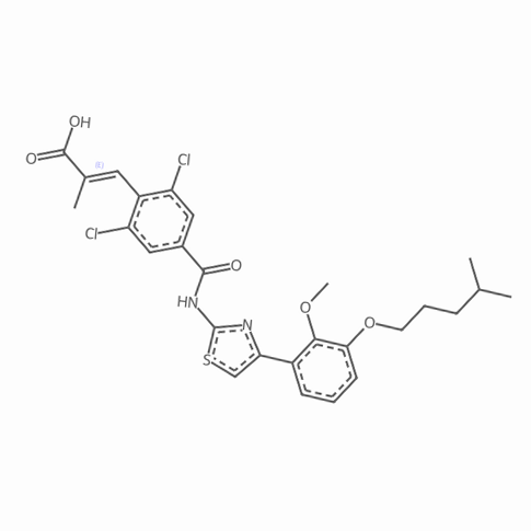 COc1c(OCCCC(C)C)cccc1-c1csc(NC(=O)c2cc(Cl)c(/C=C(\C)C(=O)O)c(Cl)c2)n1